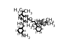 CC(C)c1cnn2c(NCc3cccc(N)c3)nc(OCCC(C)(C)C3CCCCN3C(=O)OC(C)(C)C)nc12